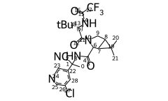 CC(C#N)(NC(=O)C1C2C(CN1C(=O)[C@@H](NC(=O)C(F)(F)F)C(C)(C)C)C2(C)C)c1cncc(Cl)c1